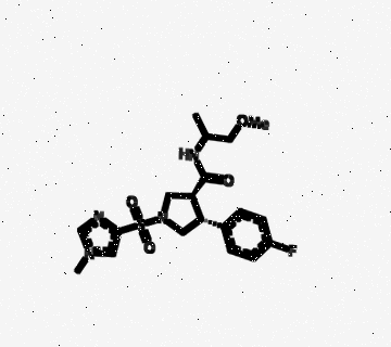 COCC(C)NC(=O)[C@@H]1CN(S(=O)(=O)c2cn(C)cn2)C[C@H]1c1ccc(F)cc1